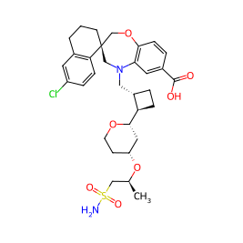 C[C@@H](CS(N)(=O)=O)O[C@@H]1CCO[C@H]([C@@H]2CC[C@H]2CN2C[C@@]3(CCCc4cc(Cl)ccc43)COc3ccc(C(=O)O)cc32)C1